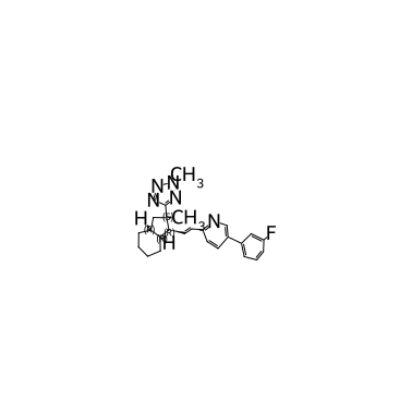 Cn1nnc([C@@]2(C)C[C@H]3CCCC[C@H]3[C@@H]2C=Cc2ccc(-c3cccc(F)c3)cn2)n1